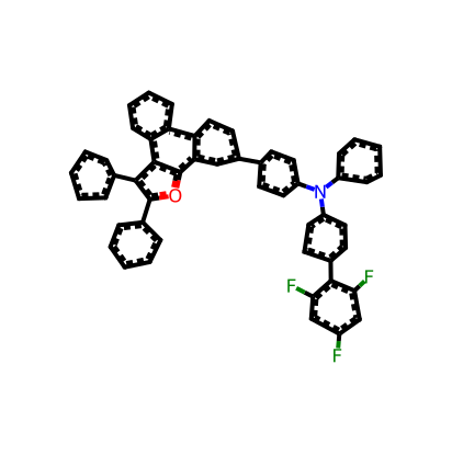 Fc1cc(F)c(-c2ccc(N(c3ccccc3)c3ccc(-c4ccc5c6ccccc6c6c(-c7ccccc7)c(-c7ccccc7)oc6c5c4)cc3)cc2)c(F)c1